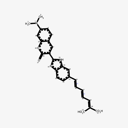 CN(C)c1ccc2cc(-c3nc4ccc(/C=C/C=C/C=C(C(=O)O)C(=O)O)cc4[nH]3)c(=O)oc2c1